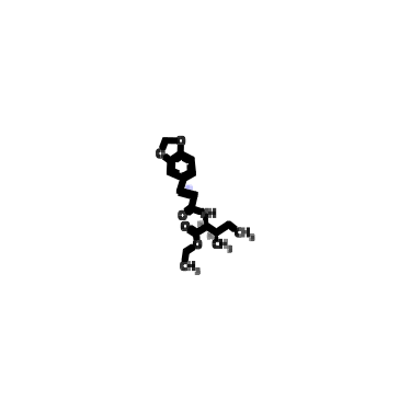 CCOC(=O)[C@@H](NC(=O)/C=C/c1ccc2c(c1)OCO2)[C@@H](C)CC